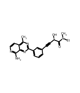 CCN(C)C(=O)[C@H](O)C#Cc1cccc(-c2nc(C)c3ccnc(N)c3n2)c1